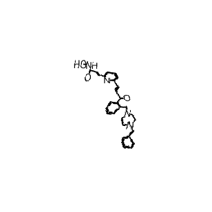 O=C(C=Cc1cccc(C=CC(=O)c2ccccc2CN2CCN(Cc3ccccc3)CC2)n1)NO